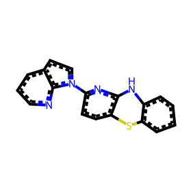 c1ccc2c(c1)Nc1nc(-n3ccc4cccnc43)ccc1S2